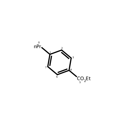 CCCc1ccc(C(=O)OCC)cc1